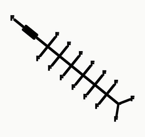 FC#CC(F)(F)C(F)(F)C(F)(F)C(F)(F)C(F)(F)C(F)(F)[C](F)F